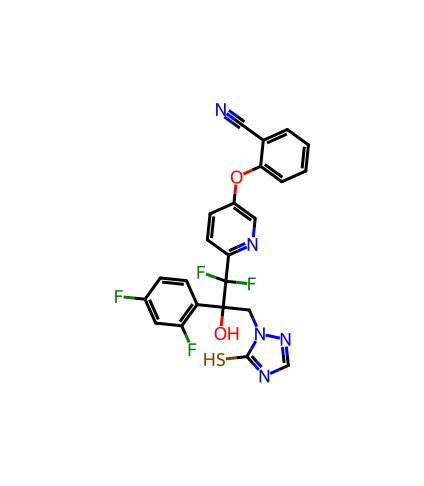 N#Cc1ccccc1Oc1ccc(C(F)(F)C(O)(Cn2ncnc2S)c2ccc(F)cc2F)nc1